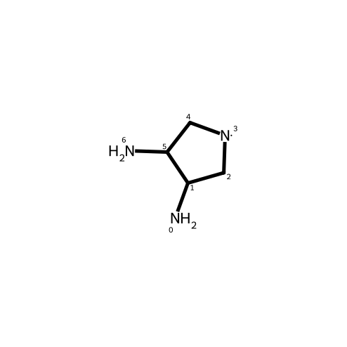 NC1C[N]CC1N